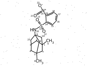 CC12CC3CC(C)(C1)CC(NS(=O)(=O)c1ccccc1[N+](=O)[O-])(C3)C2